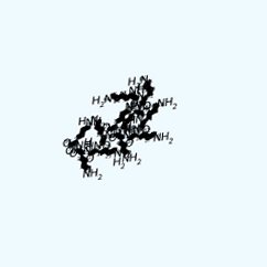 NCCCC[C@H](NC(=O)[C@H](CCCCN)NC(=O)[C@H](CCCCN)NC(=O)[C@H](CCCCN)NC(=O)[C@H](CCCCN)NC(=O)[C@H](CCCCN)NC(=O)[C@H](CCCCN)NC(=O)[C@H](CCCCN)NC(=O)[C@H](CCCCN)NC(=O)[C@H](CCCCN)NC(=O)[C@@H](N)CCCCN)C(=O)O